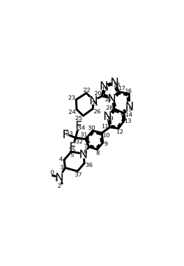 CN(C)C1CCN(c2ccc(-c3ccc4ncc5nnc(N6CCCCC6)n5c4n3)cc2C(F)(F)F)CC1